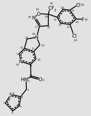 O=C(NCc1cccs1)c1cc2c(cn1)CN(C1=NOC(c3cc(Cl)c(F)c(Cl)c3)(C(F)(F)F)C1)C2